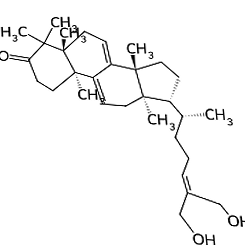 C[C@H](CCC=C(CO)CO)[C@H]1CC[C@@]2(C)C3=CC[C@@]4(C)C(C)(C)C(=O)CC[C@]4(C)C3=CC[C@]12C